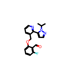 CC(C)n1nccc1-c1ncccc1COc1cccc(F)c1C=O